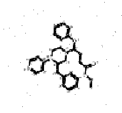 CCOC(=O)CCC(Oc1ccccc1)N1CCN(c2ccncc2)C(Cc2ccccc2)C1